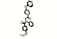 COc1ccc(C(=O)N(CC(=O)N2CCC(Oc3ccncc3)CC2)c2ccccn2)cc1